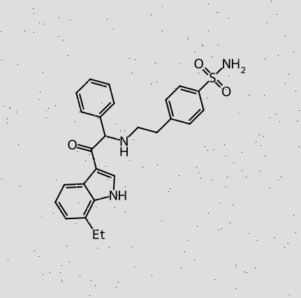 CCc1cccc2c(C(=O)C(NCCc3ccc(S(N)(=O)=O)cc3)c3ccccc3)c[nH]c12